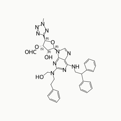 Cn1nnc([C@H]2O[C@@H](n3cnc4c(NCC(c5ccccc5)c5ccccc5)nc(N(CO)CCc5ccccc5)nc43)[C@H](O)[C@@H]2OC=O)n1